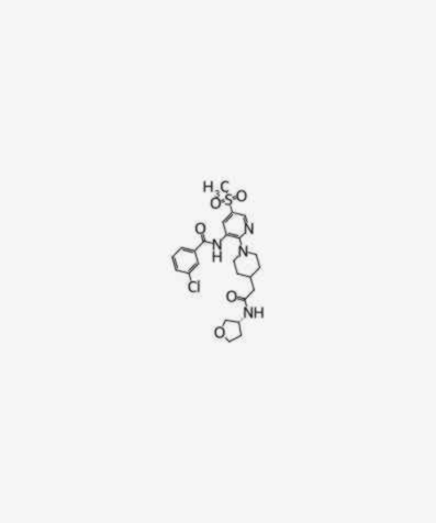 CS(=O)(=O)c1cnc(N2CCC(CC(=O)N[C@@H]3CCOC3)CC2)c(NC(=O)c2cccc(Cl)c2)c1